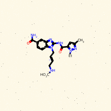 CCn1nc(C)cc1C(=O)Nc1nc2cc(C(N)=O)ccc2n1C/C=C/CNC(=O)O